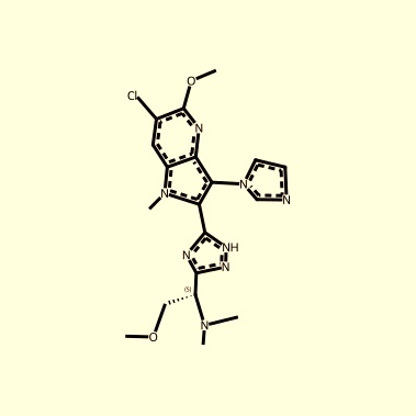 COC[C@H](c1n[nH]c(-c2c(-n3ccnc3)c3nc(OC)c(Cl)cc3n2C)n1)N(C)C